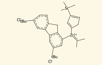 C[C](C)=[Zr+2]([C]1=CC([Si](C)(C)C)=CC1)[c]1cc(C(C)(C)C)cc2c1Cc1ccc(C(C)(C)C)cc1-2.[Cl-].[Cl-]